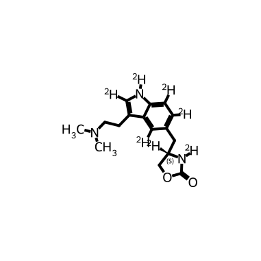 [2H]c1c(C[C@@]2([2H])COC(=O)N2[2H])c([2H])c2c(CCN(C)C)c([2H])n([2H])c2c1[2H]